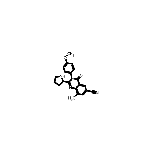 COc1ccc(-n2c(C3CCCN3)nc3c(C)cc(C#N)cc3c2=O)cc1